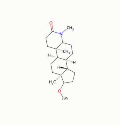 CCCOC1CC[C@H]2[C@@H]3CCC4N(C)C(=O)CC[C@]4(C)[C@@H]3CC[C@]12C